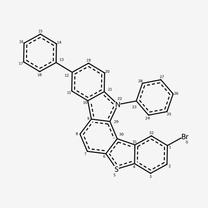 Brc1ccc2sc3ccc4c5cc(-c6ccccc6)ccc5n(-c5ccccc5)c4c3c2c1